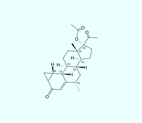 CC(=O)O[C@]1(C(C)=O)CC[C@H]2[C@@H]3C[C@H](C)C4=CC(=O)C5C[C@@H]5[C@@H]4[C@H]3CC[C@@]21C